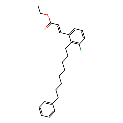 CCOC(=O)/C=C/c1cccc(F)c1CCCCCCCCc1ccccc1